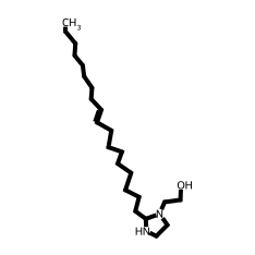 CCCCCCCCC=CCCCCCCCCC1NCCN1CCO